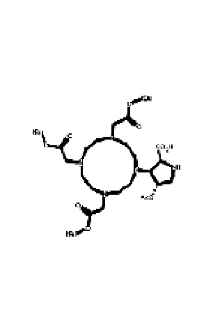 CC(=O)O[C@H]1CN[C@H](C(=O)O)[C@@H]1N1CCN(CC(=O)OC(C)(C)C)CCN(CC(=O)OC(C)(C)C)CCN(CC(=O)OC(C)(C)C)CC1